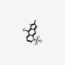 Cc1cc2cc3c(ccc[n]3[Zr]([Cl])([Cl])[Cl])c(Br)c2c1